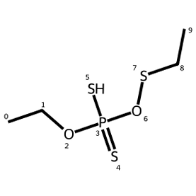 CCOP(=S)(S)OSCC